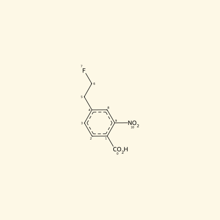 O=C(O)c1ccc(CCF)cc1[N+](=O)[O-]